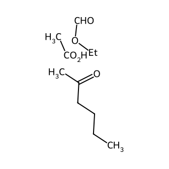 CC(=O)O.CCCCC(C)=O.CCOC=O